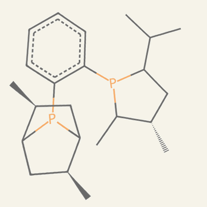 CC(C)C1C[C@H](C)C(C)P1c1ccccc1P1C2C[C@H](C)C1C[C@@H]2C